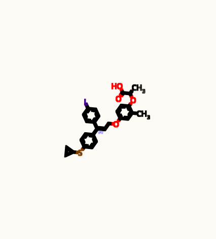 Cc1cc(OC/C=C(\c2ccc(I)cc2)c2ccc(SC3CC3)cc2)ccc1OC(C)C(=O)O